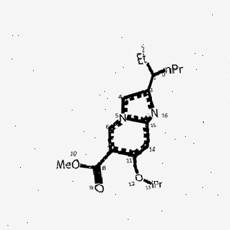 CCCC(CC)c1cn2cc(C(=O)OC)c(OC(C)C)cc2n1